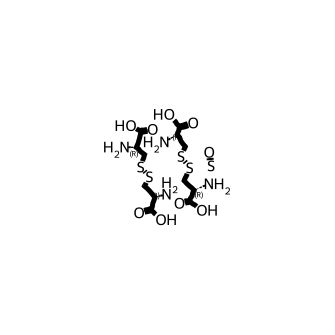 N[C@@H](CSSC[C@H](N)C(=O)O)C(=O)O.N[C@@H](CSSC[C@H](N)C(=O)O)C(=O)O.O=S